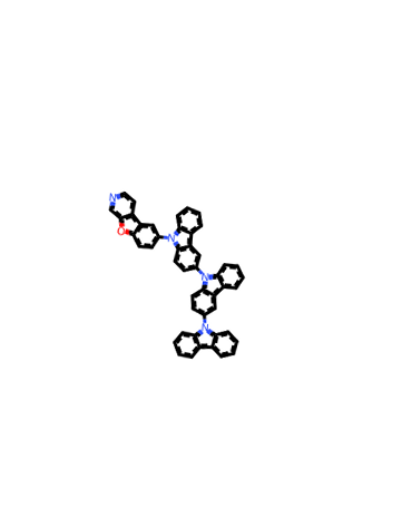 c1ccc2c(c1)c1ccccc1n2-c1ccc2c(c1)c1ccccc1n2-c1ccc2c(c1)c1ccccc1n2-c1ccc2oc3cnccc3c2c1